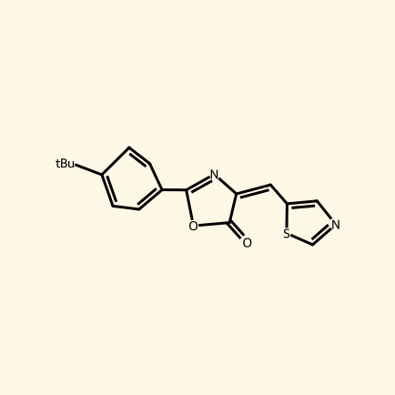 CC(C)(C)c1ccc(C2=NC(=Cc3cncs3)C(=O)O2)cc1